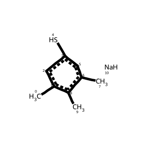 Cc1cc(S)cc(C)c1C.[NaH]